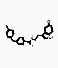 Cc1ccc(Cc2ccc(C(=O)NCCc3c[nH]c4ccc(Cl)cc34)cc2)cc1